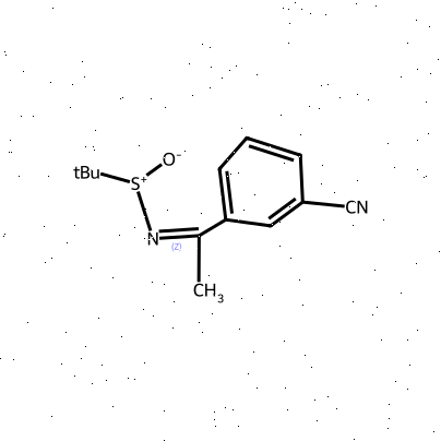 C/C(=N/[S+]([O-])C(C)(C)C)c1cccc(C#N)c1